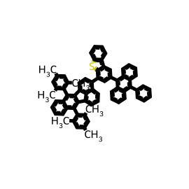 Cc1cc(C)c(-c2c3c(c(-c4c(C)cc(C)cc4C)c4ccccc24)-c2ccc(-c4cc(-c5c6ccccc6c(-c6ccccc6)c6ccccc56)cc5c4sc4ccccc45)c4cccc-3c24)c(C)c1